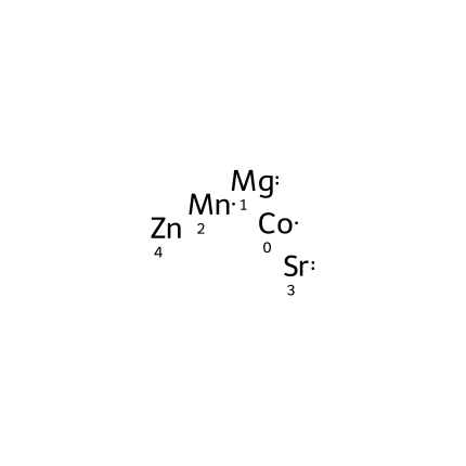 [Co].[Mg].[Mn].[Sr].[Zn]